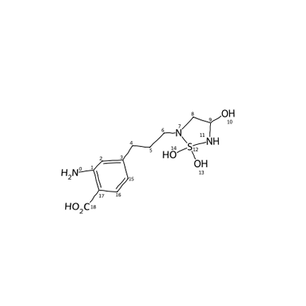 Nc1cc(CCCN2CC(O)NS2(O)O)ccc1C(=O)O